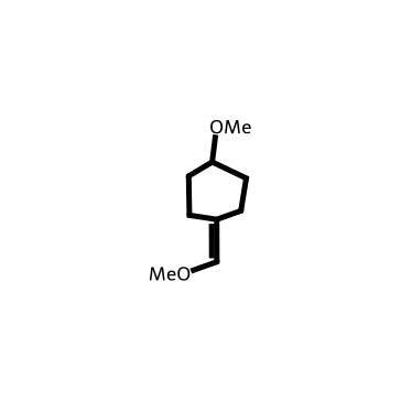 COC=C1CCC(OC)CC1